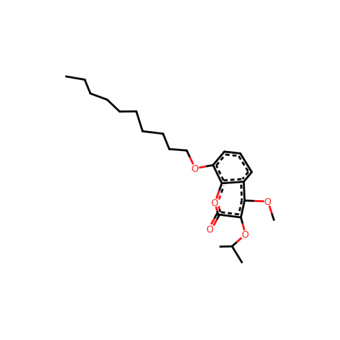 CCCCCCCCCCOc1cccc2c(OC)c(OC(C)C)c(=O)oc12